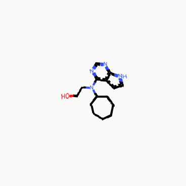 OCCN(c1ncnc2[nH]ccc12)C1CCCCCC1